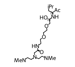 CNCCN(CCNC)CC(=O)NCCOCCOC[C@H](O)N[C@@H](CC(C)C)C(C)=O